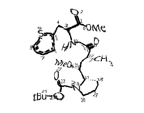 COC(=O)[C@H](Cc1cccs1)NC(=O)[C@H](C)[C@@H](OC)[C@@H]1CCCN1C(=O)OC(C)(C)C